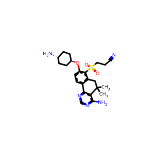 CC1(C)Cc2c(ccc(O[C@H]3CC[C@H](N)CC3)c2S(=O)(=O)CCC#N)-c2ncnc(N)c21